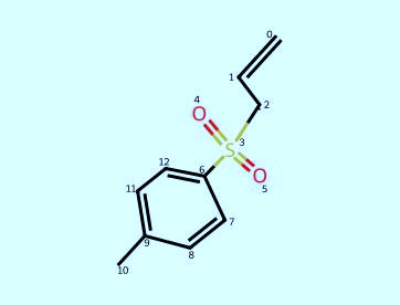 C=C[CH]S(=O)(=O)c1ccc(C)cc1